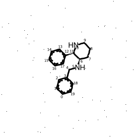 c1ccc(CN[C@@H]2CCCN[C@@H]2c2ccccc2)cc1